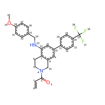 C=CC(=O)N1CCc2c(cc(-c3ccc(C(F)(F)F)cc3)cc2NCc2ccc(OC)cc2)C1